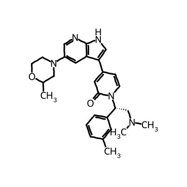 Cc1cccc([C@@H](CN(C)C)n2ccc(-c3c[nH]c4ncc(N5CCOC(C)C5)cc34)cc2=O)c1